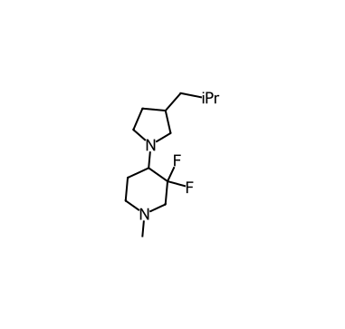 CC(C)CC1CCN(C2CCN(C)CC2(F)F)C1